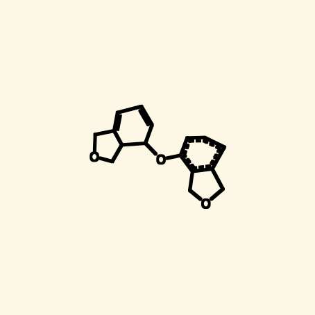 C1=CC(Oc2cccc3c2COC3)C2COCC2=C1